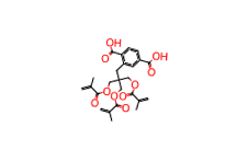 C=C(C)C(=O)OCC(COC(=O)C(=C)C)(COC(=O)C(=C)C)Cc1cc(C(=O)O)ccc1C(=O)O